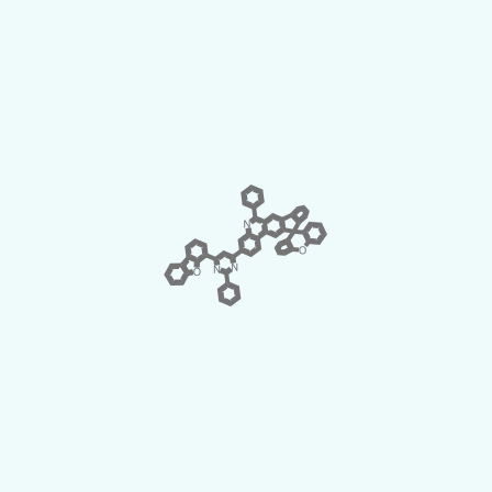 c1ccc(-c2nc(-c3ccc4c(c3)nc(-c3ccccc3)c3cc5c(cc34)C3(c4ccccc4Oc4ccccc43)c3ccccc3-5)cc(-c3cccc4c3oc3ccccc34)n2)cc1